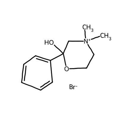 C[N+]1(C)CCOC(O)(c2ccccc2)C1.[Br-]